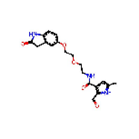 Cc1cc(C(=O)NCCOCCOc2ccc3c(c2)CC(=O)N3)c(C=O)[nH]1